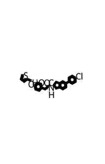 O=C(Cc1ccc(OCc2cccs2)cc1)NC1(C(=O)O)Cc2ccc(-c3ccc(Cl)cc3)cc2C1